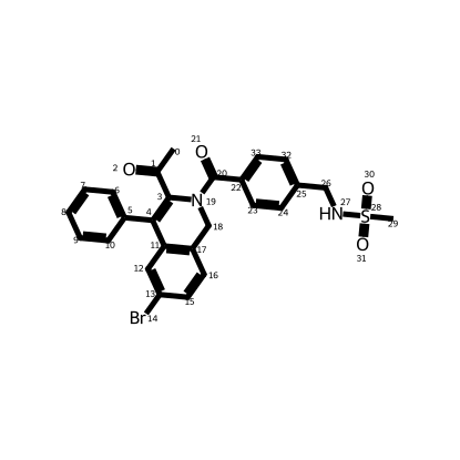 CC(=O)C1=C(c2ccccc2)c2cc(Br)ccc2CN1C(=O)c1ccc(CNS(C)(=O)=O)cc1